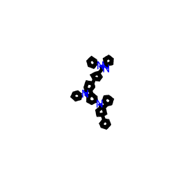 c1ccc(-c2ccc3c(c2)c2ccccc2n3-c2ccc3c(c2)c2cc(-c4ccc(-c5nc6ccccc6n5-c5ccccc5)cc4)ccc2n3-c2ccccc2)cc1